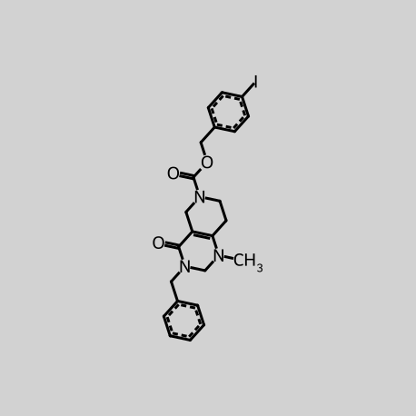 CN1CN(Cc2ccccc2)C(=O)C2=C1CCN(C(=O)OCc1ccc(I)cc1)C2